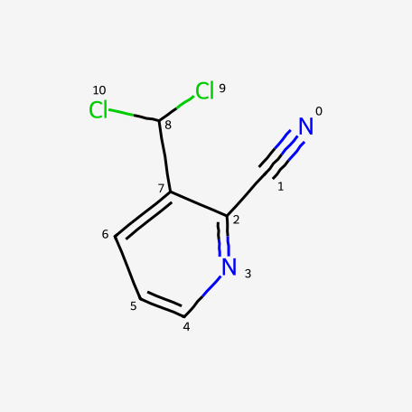 N#Cc1ncccc1C(Cl)Cl